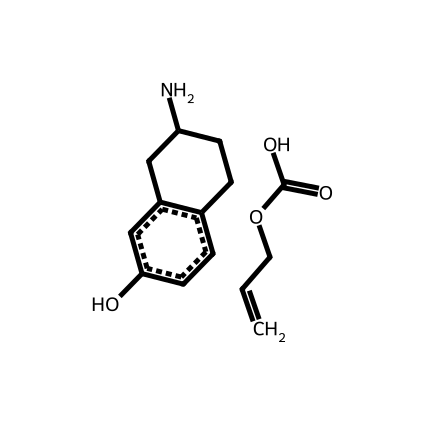 C=CCOC(=O)O.NC1CCc2ccc(O)cc2C1